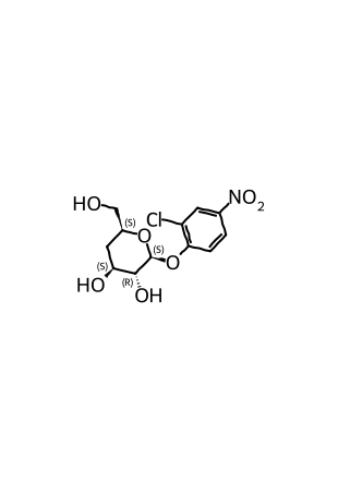 O=[N+]([O-])c1ccc(O[C@@H]2O[C@H](CO)C[C@H](O)[C@H]2O)c(Cl)c1